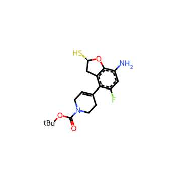 CC(C)(C)OC(=O)N1CC=C(c2c(F)cc(N)c3c2C[C@@H](S)O3)CC1